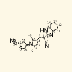 Cc1cc(/C=C(\C#N)c2nc3ccccc3[nH]2)c(C)n1-c1csc(C#N)c1